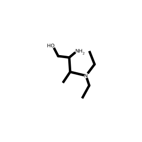 CCN(CC)C(C)C(N)CO